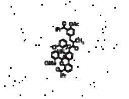 COc1ccccc1C(=O)Oc1c(C(=O)C(C)C)cccc1-c1ccc(CC(=O)C(C)Cc2ccc(OC(C)=O)c(C(=O)C(C)C)c2)c(Nc2c(Cl)cccc2Cl)c1